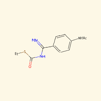 CCSC(=O)NC(=N)c1ccc(NC(C)=O)cc1